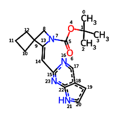 CC(C)(C)OC(=O)N1CC2(CCC2)C1=Cc1ncc2cc[nH]c2n1